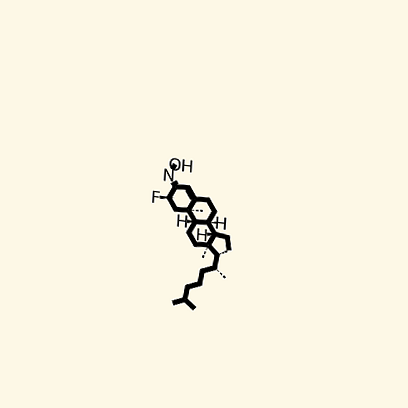 CC(C)CCC[C@@H](C)[C@H]1CC[C@H]2[C@@H]3CCC4=CC(=NO)[C@H](F)C[C@]4(C)[C@H]3CC[C@]12C